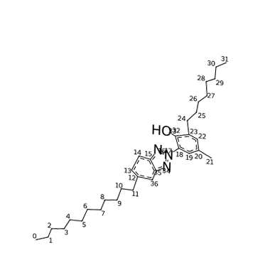 CCCCCCCCCCCCc1ccc2nn(-c3cc(C)cc(CCCCCCCC)c3O)nc2c1